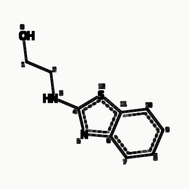 OCCNc1nc2c[c]ccc2s1